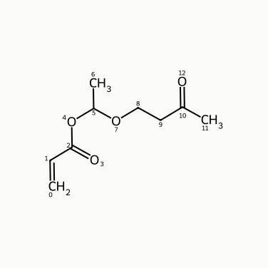 C=CC(=O)OC(C)OCCC(C)=O